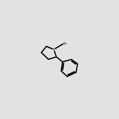 CC(C)N1CCCC1c1ccccc1